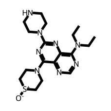 CCN(CC)c1ncnc2c(N3CC[S+]([O-])CC3)nc(N3CCNCC3)nc12